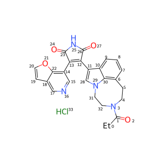 CCC(=O)N1CCc2cccc3c(C4=C(c5cncc6ccoc56)C(=O)NC4=O)cn(c23)CC1.Cl